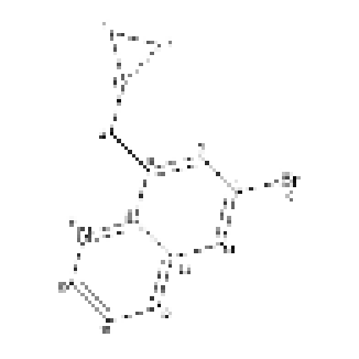 Brc1cc(CC2CC2)c2ncccc2c1